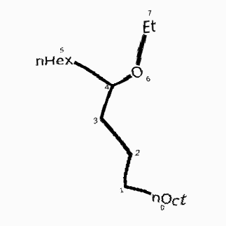 [CH2]CCCCCCCCCCC(CCCCCC)OCC